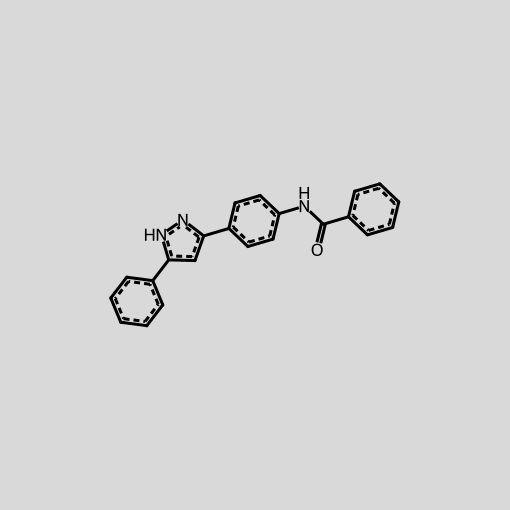 O=C(Nc1ccc(-c2cc(-c3ccccc3)[nH]n2)cc1)c1ccccc1